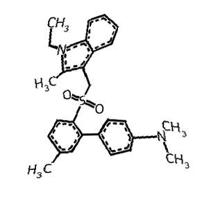 CCn1c(C)c(CS(=O)(=O)c2ccc(C)cc2-c2ccc(N(C)C)cc2)c2ccccc21